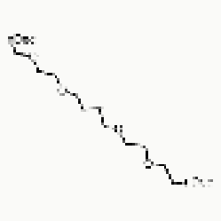 CCCCCCCCCCCCOCCOC[CH]CCOCCOCCCCCCCCCCC